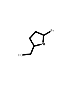 CCC1CCC(CO)N1